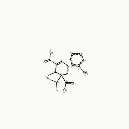 CC1C(C(=O)O)=CC=CC1(C(=O)O)C(F)F.Nc1ccccc1